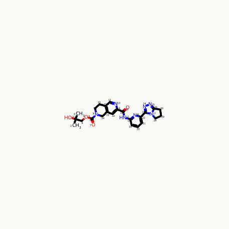 CC(C)(O)COC(=O)N1CCc2cnc(C(=O)Nc3cccc(-c4nnc5n4CCC5)n3)cc2C1